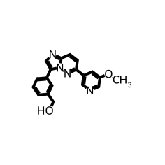 COc1cncc(-c2ccc3ncc(-c4cccc(CO)c4)n3n2)c1